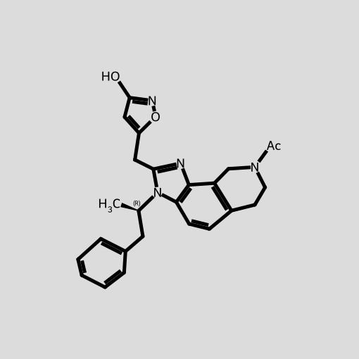 CC(=O)N1CCc2ccc3c(nc(Cc4cc(O)no4)n3[C@H](C)Cc3ccccc3)c2C1